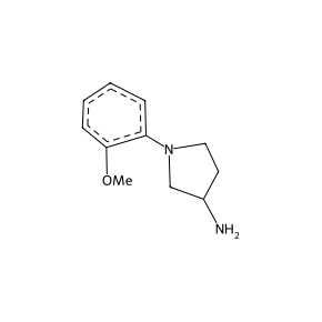 COc1ccccc1N1CCC(N)C1